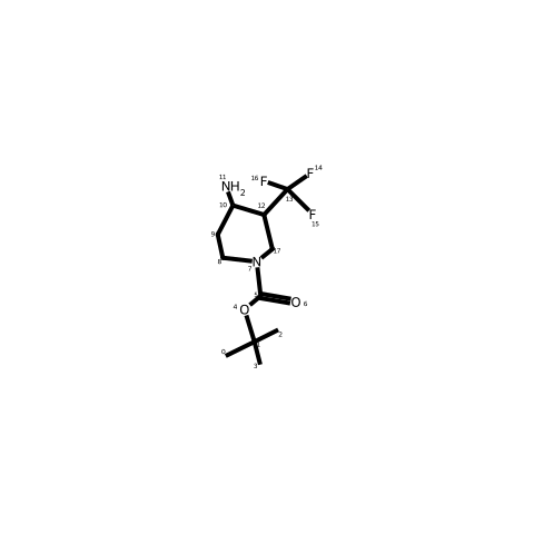 CC(C)(C)OC(=O)N1CCC(N)C(C(F)(F)F)C1